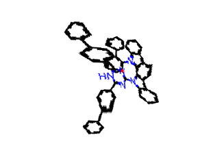 c1ccc(-c2ccc(C3=NC(n4c5ccccc5c5ccc6c7ccccc7n(-c7ccccc7-c7ccccc7)c6c54)=NC(c4ccc(-c5ccccc5)cc4)N3)cc2)cc1